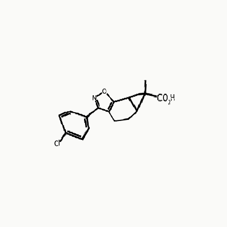 CC1(C(=O)O)C2CCc3c(-c4ccc(Cl)cc4)noc3C21